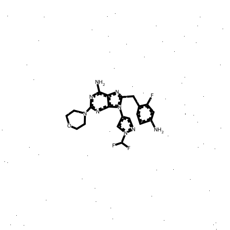 Nc1ccc(Cc2nc3c(N)nc(N4CCOCC4)nc3n2-c2cnn(C(F)F)c2)c(F)c1